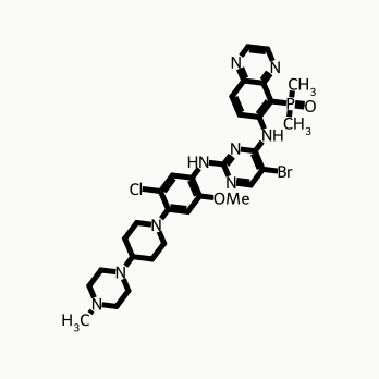 COc1cc(N2CCC(N3CCN(C)CC3)CC2)c(Cl)cc1Nc1ncc(Br)c(Nc2ccc3nccnc3c2P(C)(C)=O)n1